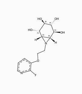 O[C@H]1[C@H](O)[C@@H](O)[C@H]2[C@@H]([C@@H]1O)N2CCOc1cccnc1F